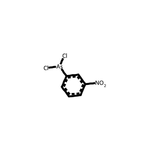 O=[N+]([O-])c1cccc([As](Cl)Cl)c1